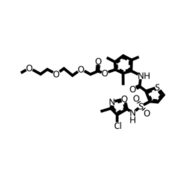 COCCOCCOCC(=O)Oc1c(C)cc(C)c(NC(=O)c2sccc2S(=O)(=O)Nc2onc(C)c2Cl)c1C